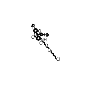 O=C(CCOCCOCCCCCCCl)Nc1ccc2c(c1)C1(OC2=O)c2ccc(N3CCC3)cc2Oc2cc(N3CCC3)ccc21